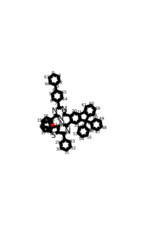 c1ccc(-c2ccc(-c3nc(-c4ccccc4)nc(-c4cc5c(cc4-c4nc(-c6ccccc6)c6sc7ccccc7c6n4)C(c4ccccc4)(c4ccccc4)c4ccccc4-5)n3)cc2)cc1